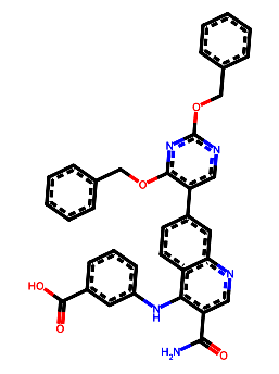 NC(=O)c1cnc2cc(-c3cnc(OCc4ccccc4)nc3OCc3ccccc3)ccc2c1Nc1cccc(C(=O)O)c1